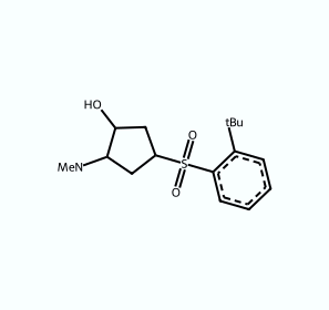 CNC1CC(S(=O)(=O)c2ccccc2C(C)(C)C)CC1O